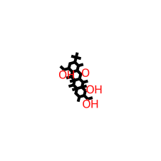 CC(O)C1CC(C(C)(C)C)C(C)C2C(=O)C3C(C)C4(C)C(O)C(C(C)O)C(C)CC4(C)C(C)C3(C)C(C)C12